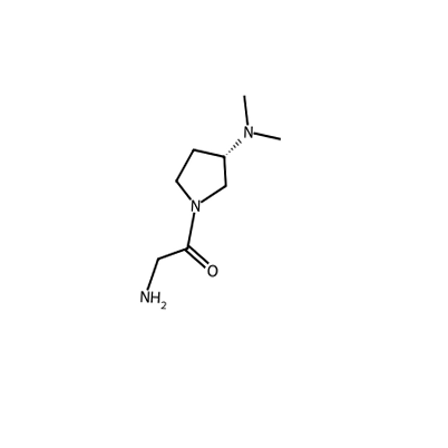 CN(C)[C@H]1CCN(C(=O)CN)C1